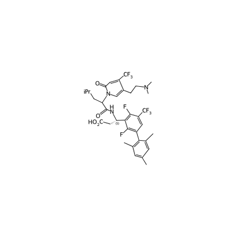 Cc1cc(C)c(-c2cc(C(F)(F)F)c(F)c([C@H](CC(=O)O)NC(=O)C(CC(C)C)n3cc(CCN(C)C)c(C(F)(F)F)cc3=O)c2F)c(C)c1